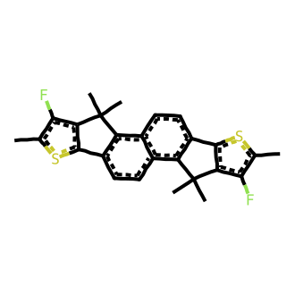 Cc1sc2c(c1F)C(C)(C)c1c-2ccc2c3c(ccc12)-c1sc(C)c(F)c1C3(C)C